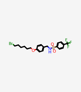 O=S(=O)(NCc1ccc(OCCCCCCBr)cc1)c1ccc(C(F)(F)F)cc1